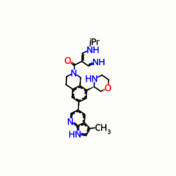 Cc1c[nH]c2ncc(-c3cc4c(c([C@@H]5COCCN5)c3)CN(C(=O)/C(C=N)=C/NC(C)C)CC4)cc12